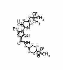 CCc1nc(C(=O)NCC2CCC(S(C)(=O)=O)CC2)c(Cl)n1-c1ncc(CC(C)(C)C(F)(F)F)cc1C